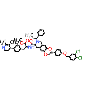 CCC(c1ccccc1)N1Cc2cc3c(cc2C[C@H]1C(=O)N[C@@H](Cc1ccc(-c2ccnc(C)c2C)cc1)C(=O)OC)OC[C@H](c1ccc(OCc2ccc(Cl)c(Cl)c2)cc1)O3